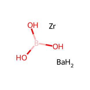 OB(O)O.[BaH2].[Zr]